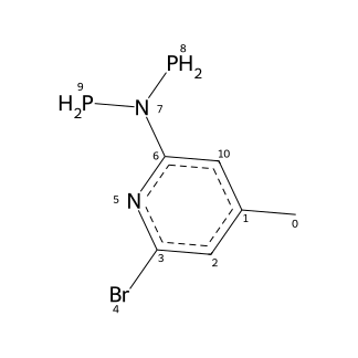 Cc1cc(Br)nc(N(P)P)c1